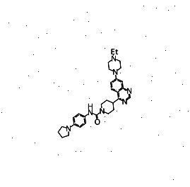 CCN1CCN(c2ccc3c(C4CCN(C(=O)Nc5ccc(N6CCCC6)cc5)CC4)ncnc3c2)CC1